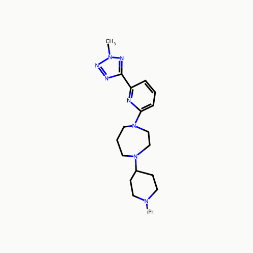 CC(C)N1CCC(N2CCCN(c3cccc(-c4nnn(C)n4)n3)CC2)CC1